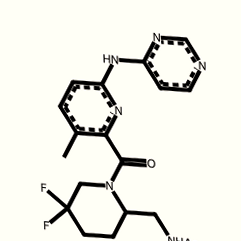 CC(=O)NCC1CCC(F)(F)CN1C(=O)c1nc(Nc2ccncn2)ccc1C